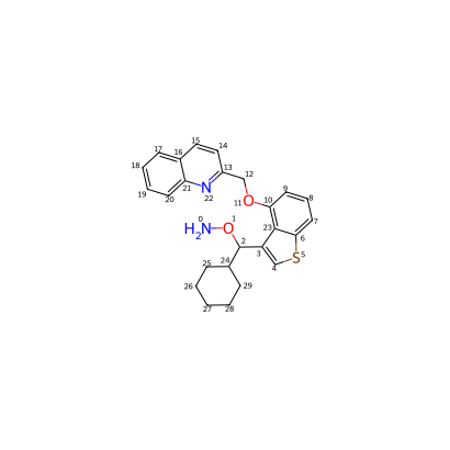 NOC(c1csc2cccc(OCc3ccc4ccccc4n3)c12)C1CCCCC1